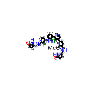 COc1nc(-c2ccnc(-c3cccc(Nc4ccnc(CNC[C@H]5CCC(=O)N5)c4F)c3Cl)c2Cl)ccc1CNC[C@H]1CCC(=O)N1